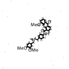 COc1ccc(CN(C)CCc2ccc(NC(=O)c3cccc4c(=O)c5cccc(OC)c5sc34)cc2)cc1OC